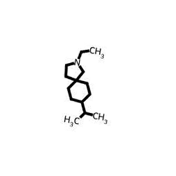 CCN1CCC2(CCC(C(C)C)CC2)C1